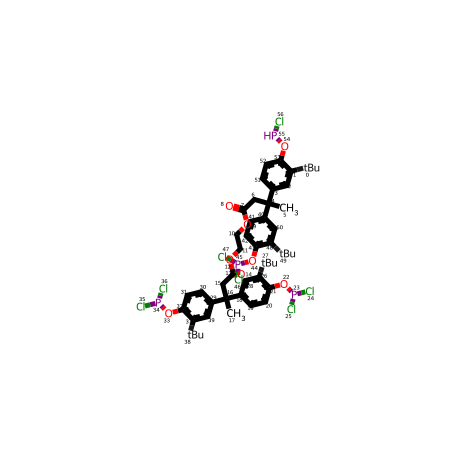 CC(C)(C)c1cc(C(C)(CC(=O)OCCOC(=O)CC(C)(c2ccc(OP(Cl)Cl)c(C(C)(C)C)c2)c2ccc(OP(Cl)Cl)c(C(C)(C)C)c2)c2ccc(OP(Cl)Cl)c(C(C)(C)C)c2)ccc1OPCl